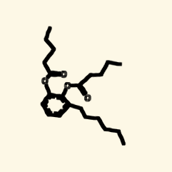 CCCCCCc1cccc(OC(=O)CCCC)c1OC(=O)CCCC